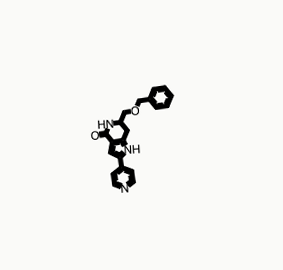 O=C1NC(COCc2ccccc2)Cc2[nH]c(-c3ccncc3)cc21